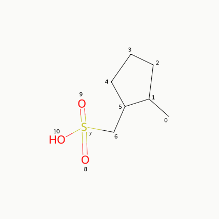 CC1CCCC1CS(=O)(=O)O